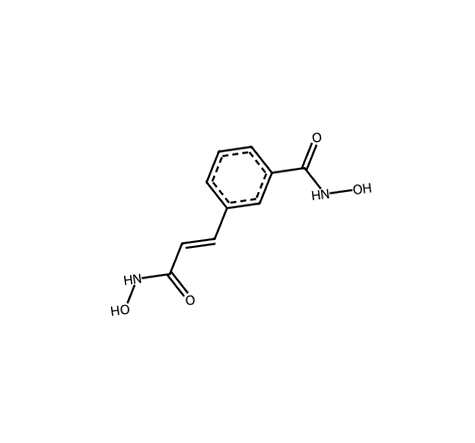 O=C(C=Cc1cccc(C(=O)NO)c1)NO